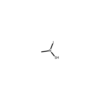 CN(S)I